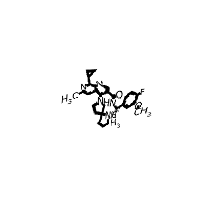 COc1cc([C@H](C)NC(=O)c2cnc3c(C4CC4)nc(C)cc3c2N2CCC3(CCCN3)C2)ccc1F